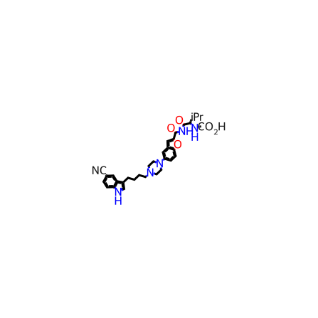 CC(C)C(NC(=O)O)C(=O)NC(=O)c1cc2cc(N3CCN(CCCCc4c[nH]c5ccc(C#N)cc45)CC3)ccc2o1